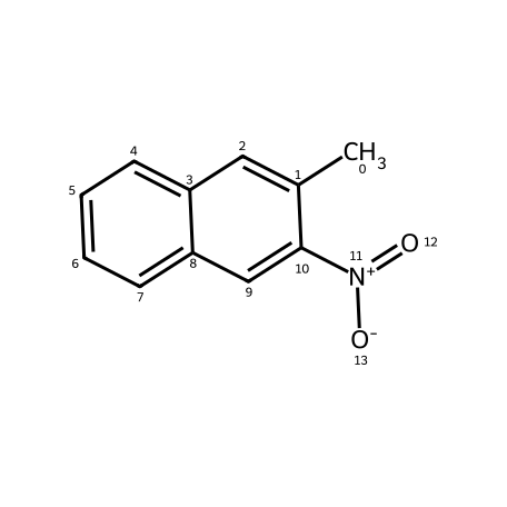 Cc1cc2ccccc2cc1[N+](=O)[O-]